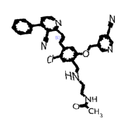 CC(=O)NCCNCc1cc(Cl)c(/C=C/c2nccc(-c3ccccc3)c2C#N)cc1OCc1cncc(C#N)c1